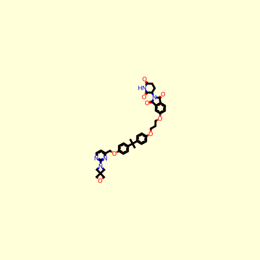 CC(C)(c1ccc(OCCCOc2ccc3c(c2)C(=O)N(C2CCC(=O)NC2=O)C3=O)cc1)c1ccc(OCc2ccnc(N3CC4(COC4)C3)n2)cc1